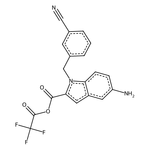 N#Cc1cccc(Cn2c(C(=O)OC(=O)C(F)(F)F)cc3cc(N)ccc32)c1